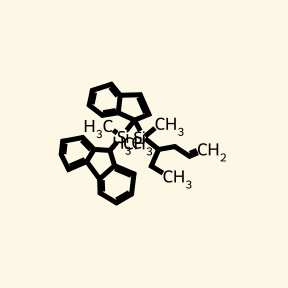 C=CCC(CC)[Si](C)(C)C1([Si](C)(C)C2c3ccccc3-c3ccccc32)C=Cc2ccccc21